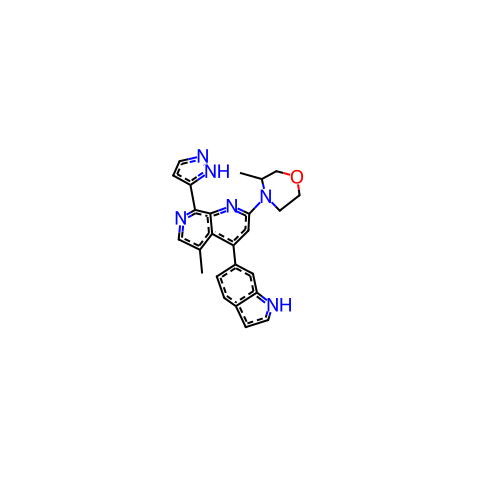 Cc1cnc(-c2ccn[nH]2)c2nc(N3CCOCC3C)cc(-c3ccc4cc[nH]c4c3)c12